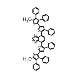 Cc1sc(-c2cc(-c3ccccc3)c(-c3ccc(-c4sc(-c5sc(C)c(-c6ccccc6)c5-c5ccccc5)cc4-c4ccccc4)c4nsnc34)s2)c(-c2ccccc2)c1-c1ccccc1